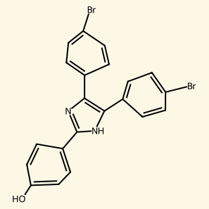 Oc1ccc(-c2nc(-c3ccc(Br)cc3)c(-c3ccc(Br)cc3)[nH]2)cc1